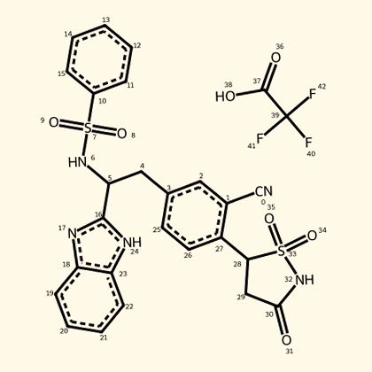 N#Cc1cc(CC(NS(=O)(=O)c2ccccc2)c2nc3ccccc3[nH]2)ccc1C1CC(=O)NS1(=O)=O.O=C(O)C(F)(F)F